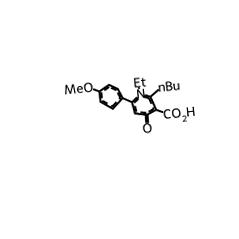 CCCCc1c(C(=O)O)c(=O)cc(-c2ccc(OC)cc2)n1CC